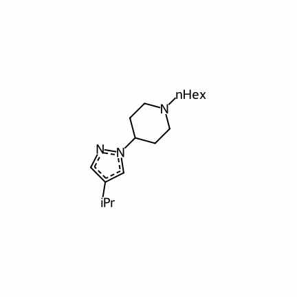 CCCCCCN1CCC(n2cc(C(C)C)cn2)CC1